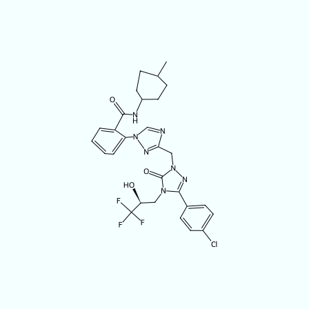 CC1CCC(NC(=O)c2ccccc2-n2cnc(Cn3nc(-c4ccc(Cl)cc4)n(C[C@H](O)C(F)(F)F)c3=O)n2)CC1